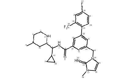 CC1CCNC(C(NC(=O)c2cc(Cn3ccn(C)c3=N)cc(-c3ccc(F)cc3C(F)(F)F)c2)C2CC2)C1